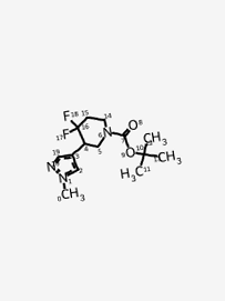 Cn1cc(C2CN(C(=O)OC(C)(C)C)CCC2(F)F)cn1